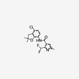 Cn1cc(C(=O)Nc2ccc(Cl)c3c2OC(C)(C)C3)c(C(F)F)n1